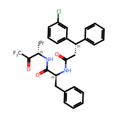 CC(C)[C@H](NC(=O)[C@H](Cc1ccccc1)NC(=O)C[C@@H](c1ccccc1)c1cccc(Cl)c1)C(=O)C(F)(F)F